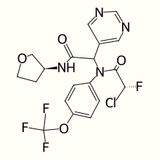 O=C(N[C@H]1CCOC1)C(c1cncnc1)N(C(=O)[C@H](F)Cl)c1ccc(OC(F)(F)F)cc1